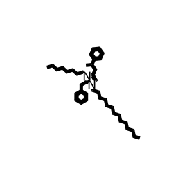 CCCCCCCCCCCCCCn1cc(CC(C)c2ccccc2)[n+](CCCCCCCC)c1Cc1ccccc1